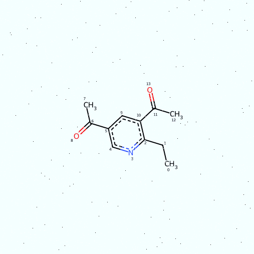 CCc1ncc(C(C)=O)cc1C(C)=O